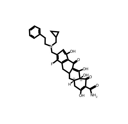 NC(=O)C1=C(O)C[C@@H]2CC3Cc4c(F)c(CN(CCc5ccccc5)CC5CC5)cc(O)c4C(=O)C3=C(O)[C@]2(O)C1=O